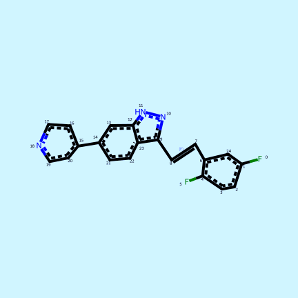 Fc1ccc(F)c(/C=C/c2n[nH]c3cc(-c4ccncc4)ccc23)c1